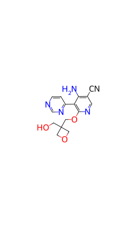 N#Cc1cnc(OCC2(CO)COC2)c(-c2ccncn2)c1N